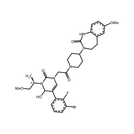 COC[C@@H](C)N1C(=O)N(CC(=O)N2CCC(N3CCc4cc(OC)ccc4NC3=O)CC2)C=C(c2cccc(Br)c2F)C1O